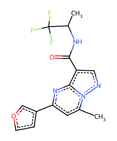 Cc1cc(-c2ccoc2)nc2c(C(=O)NC(C)C(F)(F)F)cnn12